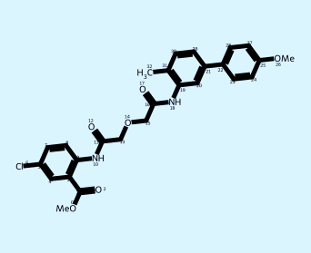 COC(=O)c1cc(Cl)ccc1NC(=O)COCC(=O)Nc1cc(-c2ccc(OC)cc2)ccc1C